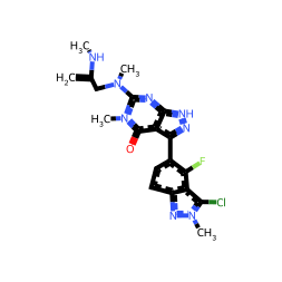 C=C(CN(C)c1nc2[nH]nc(-c3ccc4nn(C)c(Cl)c4c3F)c2c(=O)n1C)NC